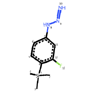 C[Si](C)(C)c1ccc(NN=N)cc1F